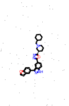 c1cc2cc(-c3n[nH]c4ccc(-c5nnc([C@@H]6CCCN(CC7CCCCC7)C6)o5)cc34)ccc2o1